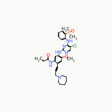 C=CC(=O)Nc1cc(Nc2ncc(Cl)c(Nc3ccccc3P(C)(C)=O)n2)c(OC)cc1C#CCN1CCCCCC1